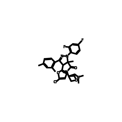 Cc1ccc(C2=NN(c3ccc(F)cc3F)C(C)(C(=O)NC3(CN(C)C)COC3)C2c2ccc(Cl)o2)c(C)c1